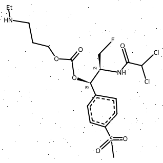 CCNCCCOC(=O)O[C@H](c1ccc(S(C)(=O)=O)cc1)[C@@H](CF)NC(=O)C(Cl)Cl